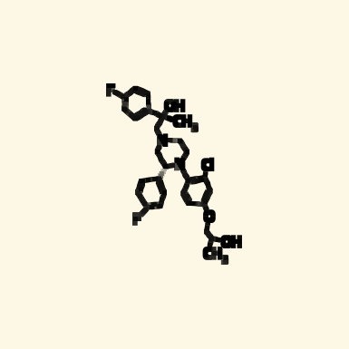 CC(O)COc1ccc(N2CCN(C[C@@](C)(O)c3ccc(F)cc3)C[C@H]2c2ccc(F)cc2)c(Cl)c1